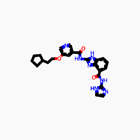 O=C(Nc1nc2c(C(=O)Nc3ncc[nH]3)cccc2[nH]1)c1cncc(OCCC2CCCC2)c1